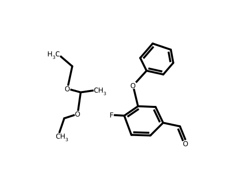 CCOC(C)OCC.O=Cc1ccc(F)c(Oc2ccccc2)c1